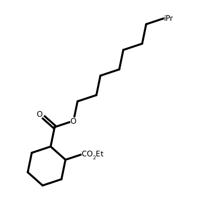 CCOC(=O)C1CCCCC1C(=O)OCCCCCCCC(C)C